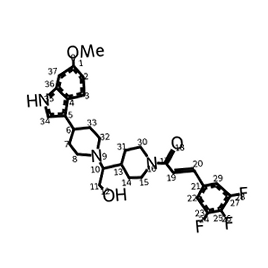 COc1ccc2c(C3CCN(C(CO)C4CCN(C(=O)C=Cc5cc(F)c(F)c(F)c5)CC4)CC3)c[nH]c2c1